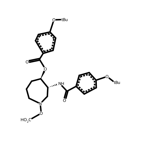 CC(C)(C)Oc1ccc(C(=O)N[C@@H]2CN(OC(=O)O)CCC[C@H]2OC(=O)c2ccc(OC(C)(C)C)cc2)cc1